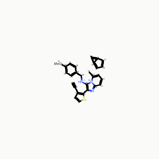 C#Cc1ccsc1-c1nc2cccc(C)n2c1NCc1ccc(OC)cc1.c1cc2cc-2c1